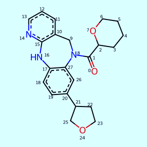 O=C(C1CCCCO1)N1Cc2cccnc2Nc2ccc(C3CCOC3)cc21